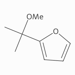 COC(C)(C)c1ccco1